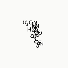 Cc1cnc2nc(CC3=C(O)CC(CCc4ccc(C5(C#N)CCCC5)c(F)c4)(C4CCCC4)OC3=O)nn2c1